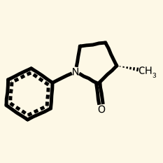 C[C@H]1CCN(c2ccccc2)C1=O